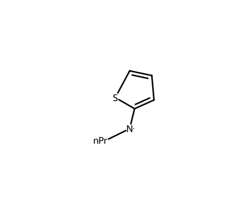 CCC[N]c1cccs1